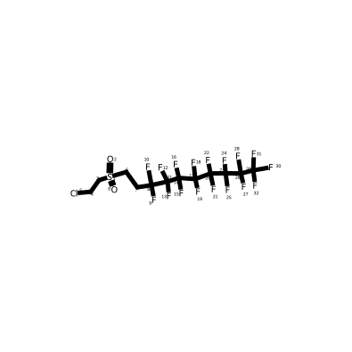 O=S(=O)(CCCl)CCC(F)(F)C(F)(F)C(F)(F)C(F)(F)C(F)(F)C(F)(F)C(F)(F)C(F)(F)F